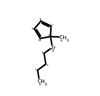 CCC[CH2][Zr][C]1(C)C=CC=C1